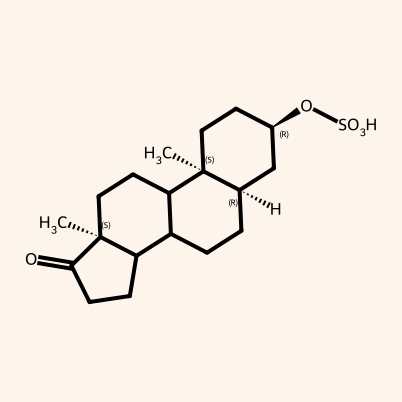 C[C@]12CCC3C(CC[C@@H]4C[C@H](OS(=O)(=O)O)CC[C@]34C)C1CCC2=O